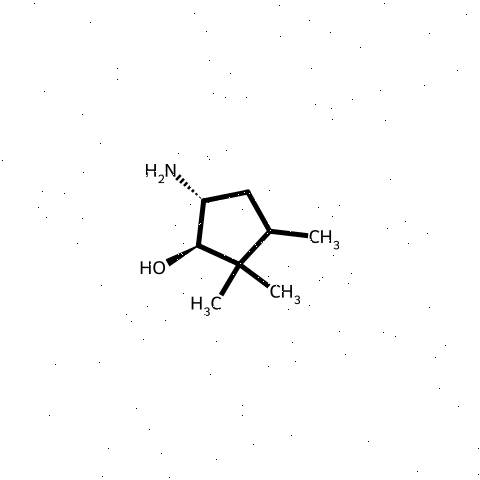 CC1C[C@@H](N)[C@H](O)C1(C)C